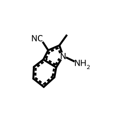 Cc1c(C#N)c2ccccc2n1N